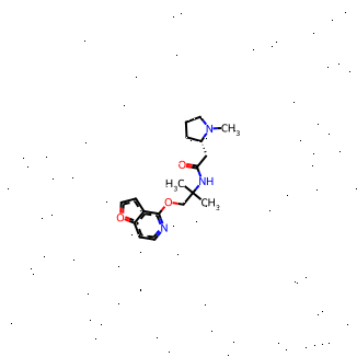 CN1CCC[C@H]1CC(=O)NC(C)(C)COc1nccc2occc12